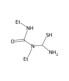 CCNC(=O)N(CC)C(N)S